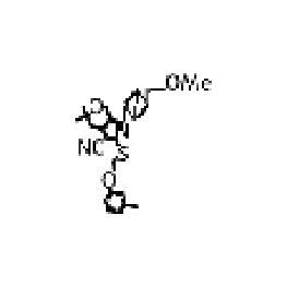 COCCN1CCN(c2nc(SCCOc3cccc(C)c3)c(C#N)c3c2COC(C)(C)C3)CC1